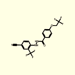 N#Cc1ccc(NNC(=O)c2ccc(OCC(F)(F)F)cc2)c(C(F)(F)F)c1